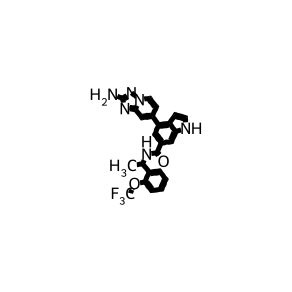 CC(NC(=O)c1cc(-c2ccn3nc(N)nc3c2)c2cc[nH]c2c1)c1ccccc1OC(F)(F)F